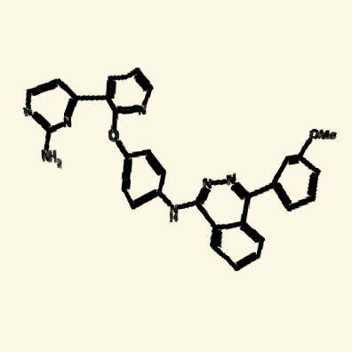 COc1cccc(-c2nnc(Nc3ccc(Oc4ncccc4-c4ccnc(N)n4)cc3)c3ccccc23)c1